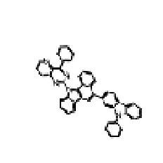 c1ccc(-c2nc(-n3c4ccccc4c4cc(-c5ccc6c7ccccc7n(-c7ccccc7)c6c5)c5ccccc5c43)nc3cccnc23)cc1